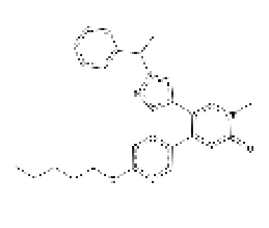 CC(C)CCCOc1ccc(-c2cc(=O)n(C)cc2-c2cnn(C(C)c3ccccc3)c2)cn1